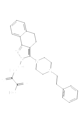 Cn1nc2c(c1N1CCN(CCc3ccccc3)CC1)CCc1ccccc1-2.O=C(O)C(=O)O